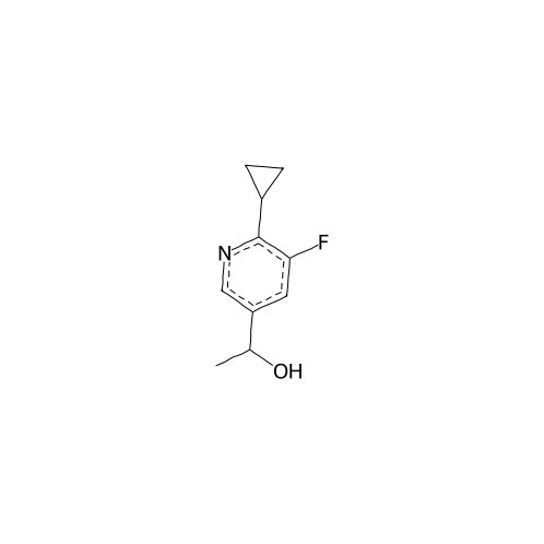 CC(O)c1cnc(C2CC2)c(F)c1